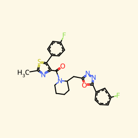 Cc1nc(C(=O)N2CCCCC2Cc2nnc(-c3cccc(F)c3)o2)c(-c2ccc(F)cc2)s1